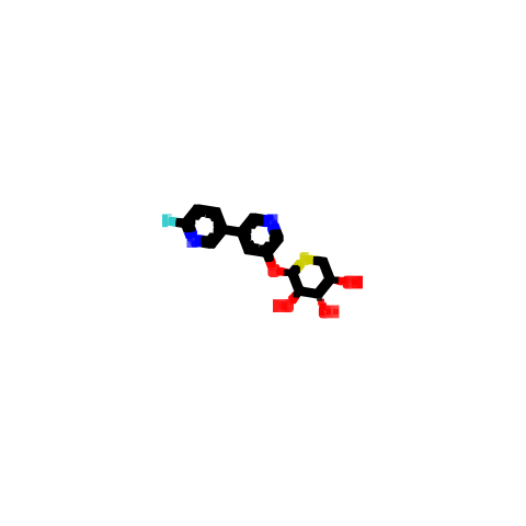 O[C@@H]1[C@@H](O)[C@@H](Oc2cncc(-c3ccc(F)nc3)c2)SC[C@H]1O